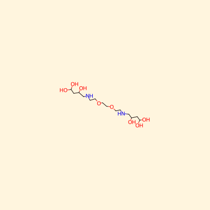 OC(O)CC(O)CNCCOCCOCCNCC(O)CC(O)O